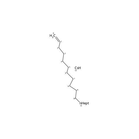 C=CCCCCCCCCCCCCCCCC.[CsH]